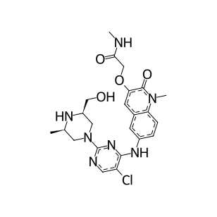 CNC(=O)COc1cc2cc(Nc3nc(N4C[C@H](CO)N[C@H](C)C4)ncc3Cl)ccc2n(C)c1=O